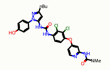 CCCCc1cc(NC(=O)Nc2ccc(Oc3ccnc(NC(=O)NC)c3)c(Cl)c2Cl)n(-c2ccc(O)cc2)n1